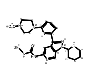 CC(C)(C)NC(=O)Nc1cc2c(-c3cccc(N4CCN(C(=O)O)CC4)n3)nn(C3CCCCO3)c2cn1